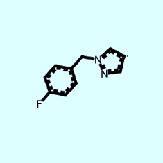 Fc1ccc(Cn2c[c]cn2)cc1